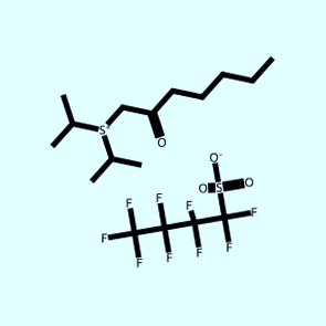 CCCCCC(=O)C[S+](C(C)C)C(C)C.O=S(=O)([O-])C(F)(F)C(F)(F)C(F)(F)C(F)(F)F